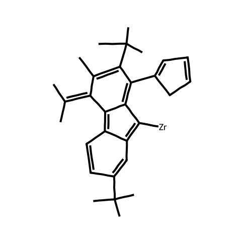 CC(C)=c1c(C)c(C(C)(C)C)c(C2=CC=CC2)c2c1=c1ccc(C(C)(C)C)cc1=[C]2[Zr]